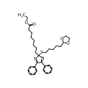 CCOC(=O)CCCCCCCC1(SCCCCCC2OCCO2)N=C(c2ccccc2)C(c2ccccc2)=N1